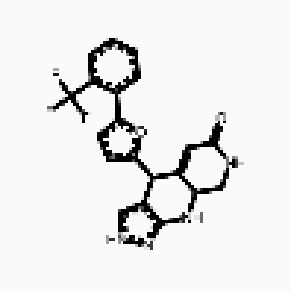 O=C1C=C2C(CN1)Nc1n[nH]cc1C2c1ccc(-c2ccccc2C(F)(F)F)o1